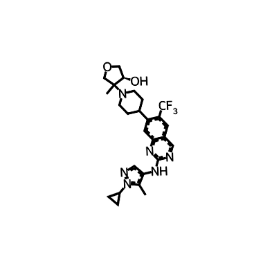 Cc1c(Nc2ncc3cc(C(F)(F)F)c(C4CCN(C5(C)COC[C@H]5O)CC4)cc3n2)cnn1C1CC1